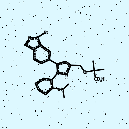 CCn1ncc2ccc(-c3cc(COC(C)(C)C(=O)O)nn3-c3ccccc3N(C)C)cc21